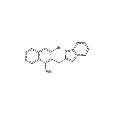 COc1c(Cc2cc3ccccc3s2)c(Br)cc2ccccc12